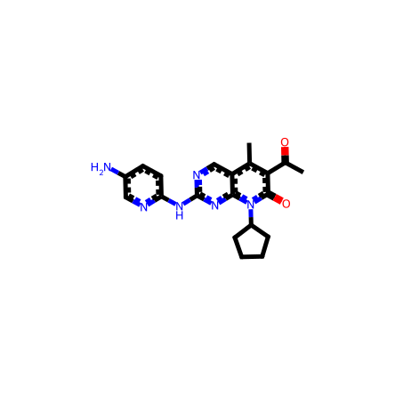 CC(=O)c1c(C)c2cnc(Nc3ccc(N)cn3)nc2n(C2CCCC2)c1=O